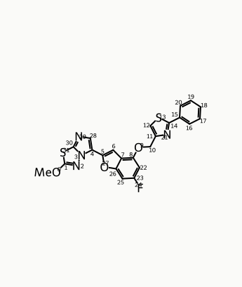 COc1nn2c(-c3cc4c(OCc5csc(-c6ccccc6)n5)cc(F)cc4o3)cnc2s1